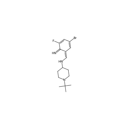 CC(C)(C)N1CCC(N/C=C2/C=C(Br)C=C(F)C2=N)CC1